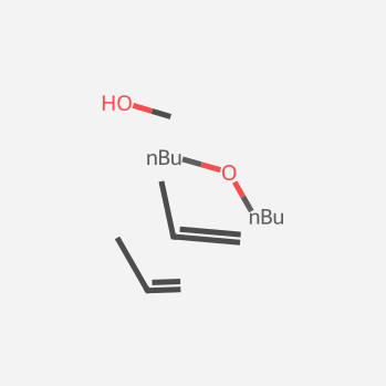 C=CC.C=CC.CCCCOCCCC.CO